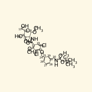 COc1c(C(=O)N[C@H]2[C@H](OC)O[C@H](CO)[C@@H](O)[C@@H]2O)cc(Cl)c(OCc2cccc(CNC(=O)OC(C)(C)C)c2)c1Cl